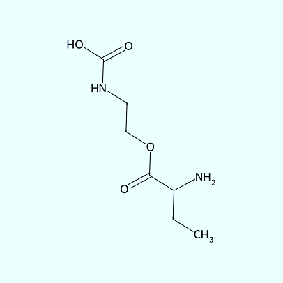 CCC(N)C(=O)OCCNC(=O)O